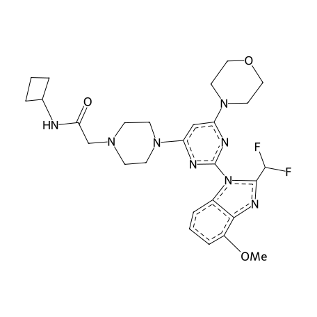 COc1cccc2c1nc(C(F)F)n2-c1nc(N2CCOCC2)cc(N2CCN(CC(=O)NC3CCC3)CC2)n1